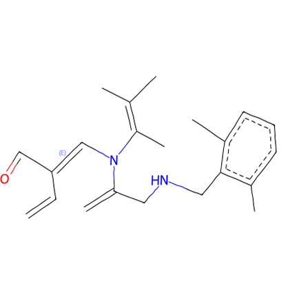 C=C/C(C=O)=C\N(C(=C)CNCc1c(C)cccc1C)C(C)=C(C)C